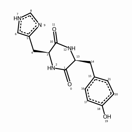 O=C1N[C@@H](Cc2c[nH]cn2)C(=O)N[C@H]1Cc1ccc(O)cc1